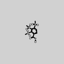 CS(=O)(=O)c1ccc(C(=O)P=O)c(S(C)(=O)=O)c1S(C)(=O)=O